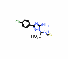 Nc1nc(-c2ccc(Cl)cc2)nn1C(NC=S)C(=O)O